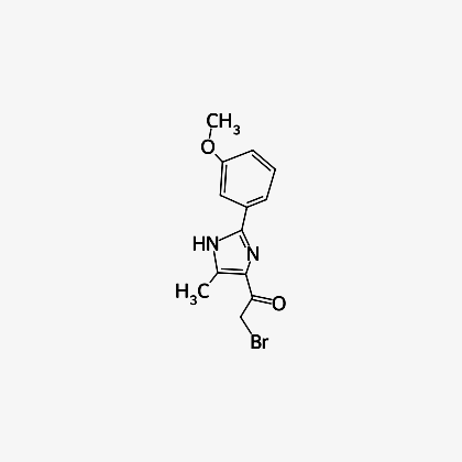 COc1cccc(-c2nc(C(=O)CBr)c(C)[nH]2)c1